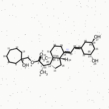 C[C@H](C(=O)OCC1(O)CCCCCC1)[C@H]1CC[C@H]2/C(=C/C=C3C[C@@H](O)C[C@H](O)C3)CCC[C@]12C